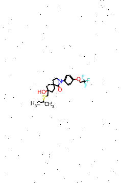 CC(C)SCC1(O)CCC2(CCN(c3ccc(OCC(F)(F)F)cc3)C2=O)CC1